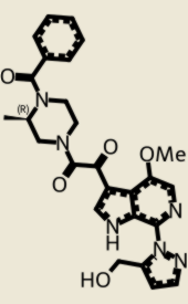 COc1cnc(-n2nccc2CO)c2[nH]cc(C(=O)C(=O)N3CCN(C(=O)c4ccccc4)[C@H](C)C3)c12